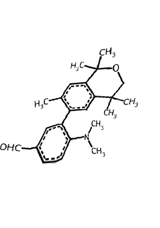 Cc1cc2c(cc1-c1cc(C=O)ccc1N(C)C)C(C)(C)COC2(C)C